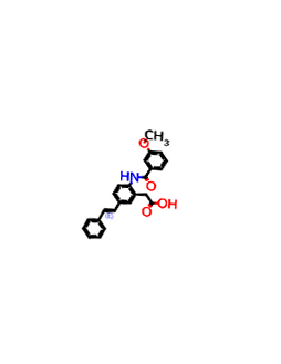 COc1cccc(C(=O)Nc2ccc(/C=C/c3ccccc3)cc2CC(=O)O)c1